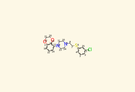 Clc1cccc(SCCN2CCN(c3cccc4c3OCCO4)CC2)c1